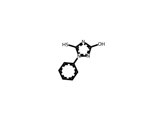 Oc1nc(S)n(-c2ccccc2)n1